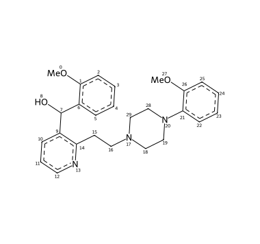 COc1ccccc1C(O)c1cccnc1CCN1CCN(c2ccccc2OC)CC1